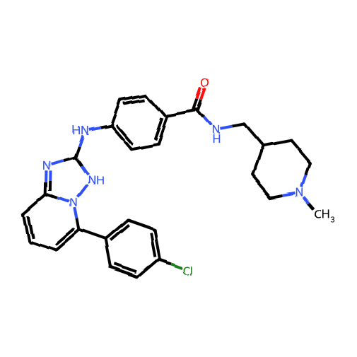 CN1CCC(CNC(=O)c2ccc(NC3N=C4C=CC=C(c5ccc(Cl)cc5)N4N3)cc2)CC1